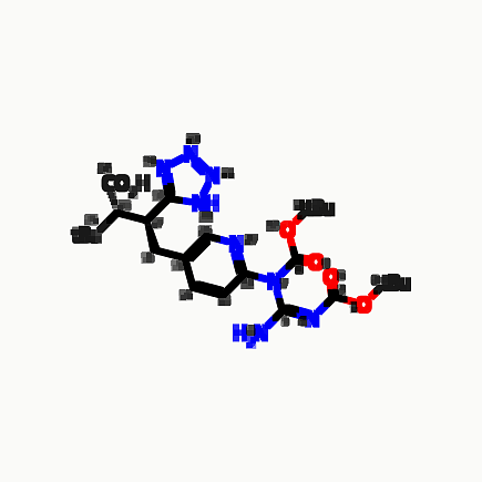 CC(C)(C)OC(=O)/N=C(/N)N(C(=O)OC(C)(C)C)c1ccc(C[C@H](c2nnn[nH]2)[C@@H](C(=O)O)C(C)(C)C)cn1